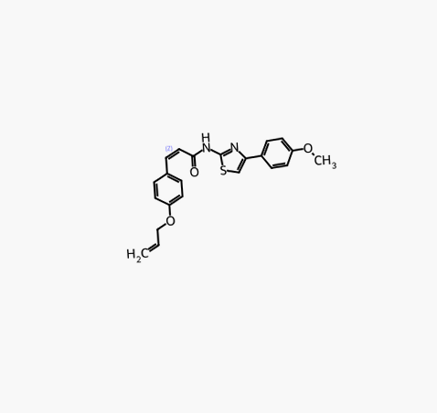 C=CCOc1ccc(/C=C\C(=O)Nc2nc(-c3ccc(OC)cc3)cs2)cc1